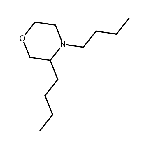 CCCCC1COCCN1CCCC